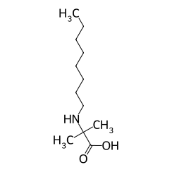 CCCCCCCCNC(C)(C)C(=O)O